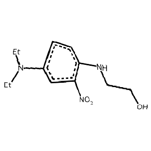 CCN(CC)c1ccc(NCCO)c([N+](=O)[O-])c1